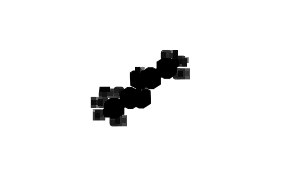 COc1cc2c(ccc[n+]2-c2ccnc3cc(-c4cc(O)c(C(C)C)c(O)c4)ccc23)cc1-c1cc(O)c(C(C)C)c(O)c1